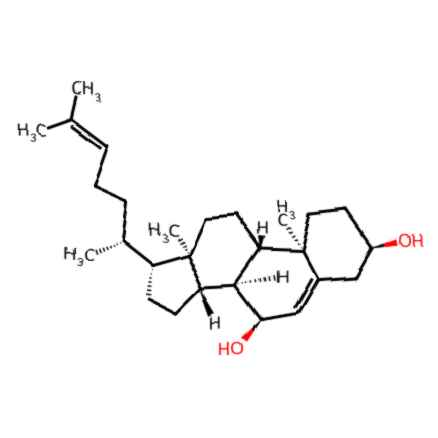 CC(C)=CCC[C@@H](C)[C@H]1CC[C@H]2[C@@H]3[C@H](O)C=C4C[C@H](O)CC[C@]4(C)[C@H]3CC[C@]12C